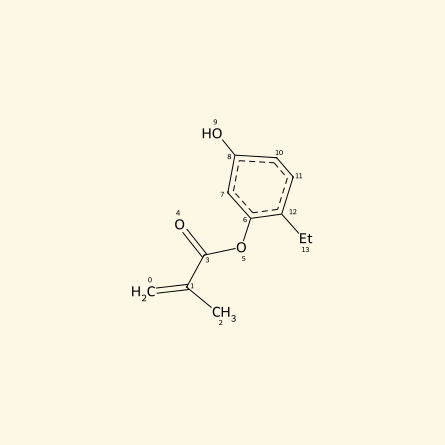 C=C(C)C(=O)Oc1cc(O)ccc1CC